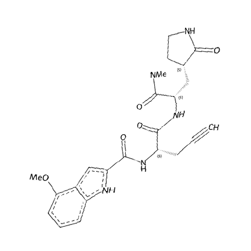 C#CC[C@H](NC(=O)c1cc2c(OC)cccc2[nH]1)C(=O)N[C@@H](C[C@@H]1CCNC1=O)C(=O)NC